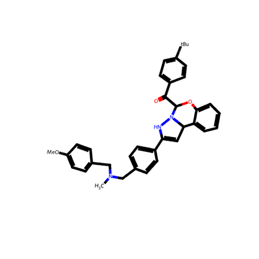 COc1ccc(CN(C)Cc2ccc(C3=CC4c5ccccc5OC(C(=O)c5ccc(C(C)(C)C)cc5)N4N3)cc2)cc1